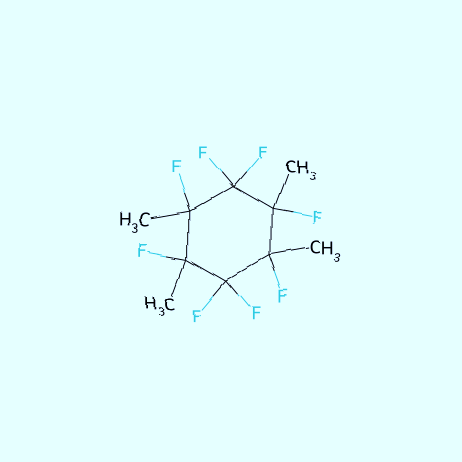 CC1(F)C(C)(F)C(F)(F)C(C)(F)C(C)(F)C1(F)F